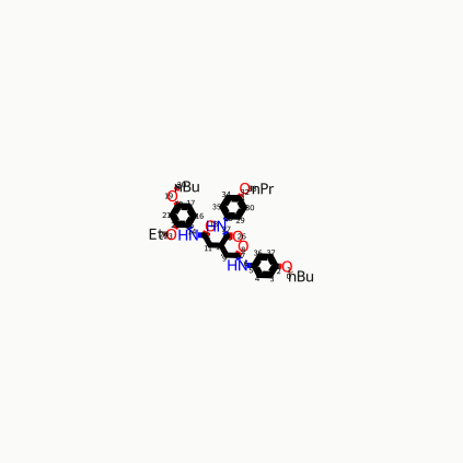 CCCCOc1ccc(NC(=O)[CH]C(CC(=O)Nc2ccc(OCCCC)cc2OCC)C(=O)Nc2ccc(OCCC)cc2)cc1